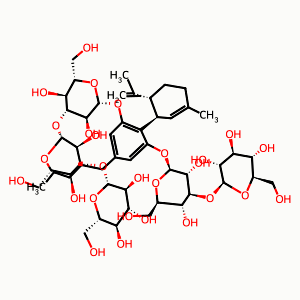 C=C(C)[C@@H]1CCC(C)=C[C@H]1c1c(O[C@H]2O[C@@H](CO)[C@H](O)[C@@H](O[C@H]3O[C@@H](CO)[C@H](O)[C@@H](O[C@H]4O[C@@H](CO)[C@H](O)[C@@H](O)[C@@H]4O)[C@@H]3O)[C@@H]2O)cc(CCCCC)cc1O[C@@H]1O[C@H](CO)[C@@H](O)[C@H](O[C@@H]2O[C@H](CO)[C@@H](O)[C@H](O)[C@H]2O)[C@H]1O